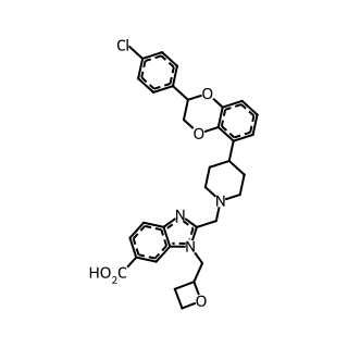 O=C(O)c1ccc2nc(CN3CCC(c4cccc5c4OCC(c4ccc(Cl)cc4)O5)CC3)n(CC3CCO3)c2c1